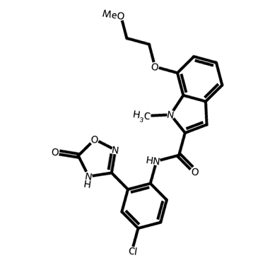 COCCOc1cccc2cc(C(=O)Nc3ccc(Cl)cc3-c3noc(=O)[nH]3)n(C)c12